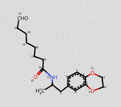 CC(Cc1ccc2c(c1)OCCO2)NC(=O)CCCCCCC=O